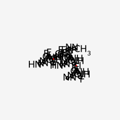 Cc1ccc(-c2cnc3ccc(Oc4c(F)c(F)cc(NC(=O)Nc5cccc(F)c5)c4F)cc3n2)cn1.O=C(Nc1cccc(Cl)c1)Nc1cc(F)c(F)c(Oc2ccc3ncc(N4CCNCC4)nc3c2)c1F.O=C(Nc1cccc(F)c1)Nc1cc(F)c(F)c(Oc2ccc3ncc(-c4cccnc4)nc3c2)c1F.O=C(Nc1cccc(F)c1)Nc1cc(F)c(F)c(Oc2ccc3ncc(N4CCNCC4)nc3c2)c1F